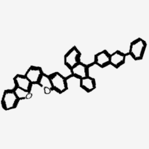 c1ccc(-c2ccc3cc(-c4c5ccccc5c(-c5ccc6oc7c(ccc8ccc9c%10ccccc%10oc9c87)c6c5)c5ccccc45)ccc3c2)cc1